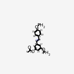 CC(=O)Oc1cc(/C=C/c2ccc(OP)cc2)cc(OP)c1